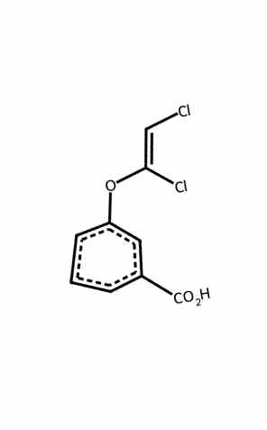 O=C(O)c1cccc(OC(Cl)=CCl)c1